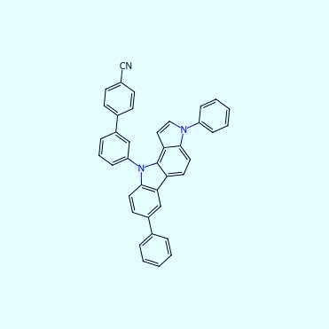 N#Cc1ccc(-c2cccc(-n3c4ccc(-c5ccccc5)cc4c4ccc5c(ccn5-c5ccccc5)c43)c2)cc1